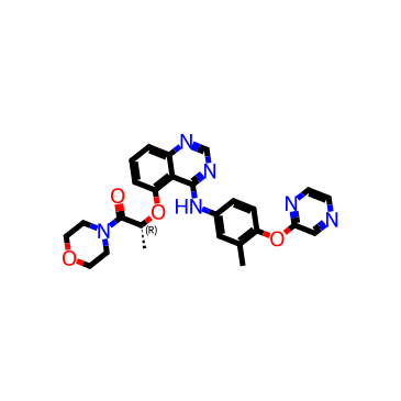 Cc1cc(Nc2ncnc3cccc(O[C@H](C)C(=O)N4CCOCC4)c23)ccc1Oc1cnccn1